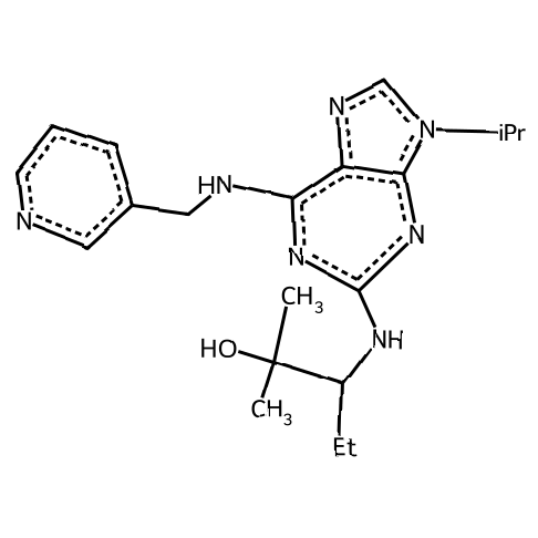 CCC(Nc1nc(NCc2cccnc2)c2ncn(C(C)C)c2n1)C(C)(C)O